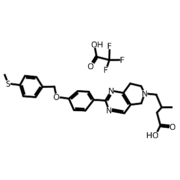 CSc1ccc(COc2ccc(-c3ncc4c(n3)CCN(CC(C)CC(=O)O)C4)cc2)cc1.O=C(O)C(F)(F)F